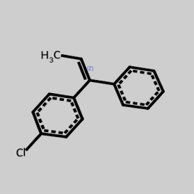 C/C=C(/c1ccccc1)c1ccc(Cl)cc1